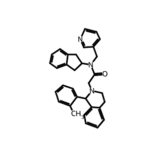 Cc1ccccc1C1c2ccccc2CCN1CC(=O)N(Cc1cccnc1)C1Cc2ccccc2C1